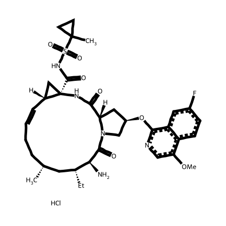 CC[C@@H]1C[C@H](C)CC/C=C\[C@@H]2C[C@@]2(C(=O)NS(=O)(=O)C2(C)CC2)NC(=O)[C@@H]2C[C@@H](Oc3ncc(OC)c4ccc(F)cc34)CN2C(=O)[C@H]1N.Cl